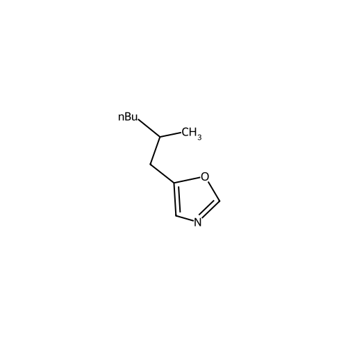 CCCCC(C)Cc1cnco1